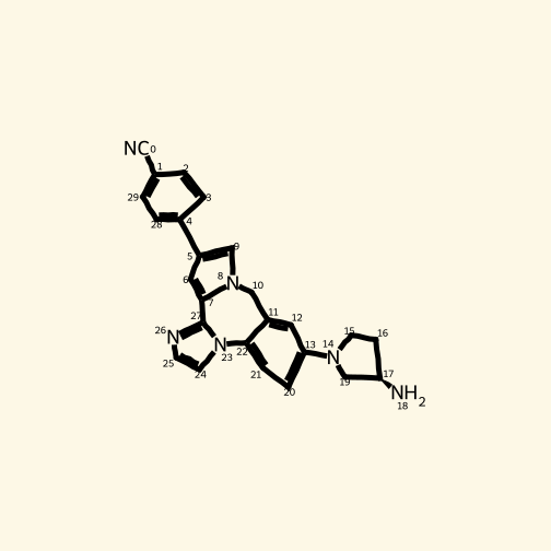 N#Cc1ccc(-c2cc3n(c2)Cc2cc(N4CC[C@@H](N)C4)ccc2-n2ccnc2-3)cc1